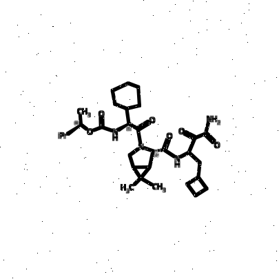 CC(C)[C@@H](C)OC(=O)N[C@H](C(=O)N1CC2C([C@H]1C(=O)NC(CC1CCC1)C(=O)C(N)=O)C2(C)C)C1CCCCC1